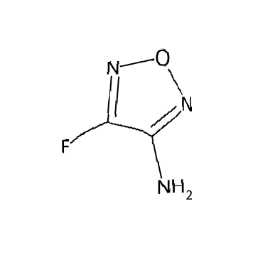 Nc1nonc1F